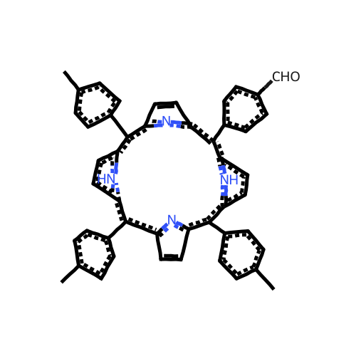 Cc1ccc(-c2c3nc(c(-c4ccc(C)cc4)c4ccc([nH]4)c(-c4ccc(C=O)cc4)c4nc(c(-c5ccc(C)cc5)c5ccc2[nH]5)C=C4)C=C3)cc1